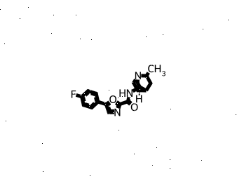 CC1CC2CCN1C[C@@H]2NC(=O)c1ncc(-c2ccc(F)cc2)o1